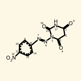 O=C1CC(=O)N(N=Nc2ccc([N+](=O)[O-])cc2)C(=O)N1